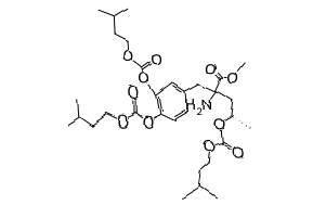 COC(=O)C(N)(Cc1ccc(OC(=O)OCCC(C)C)c(OC(=O)OCCC(C)C)c1)C[C@H](C)OC(=O)OCCC(C)C